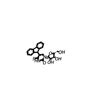 O=c1[nH]c(=S)c(C2c3ccccc3-c3ccccc32)cn1[C@@H]1O[C@H](CO)[C@@H](O)[C@H]1O